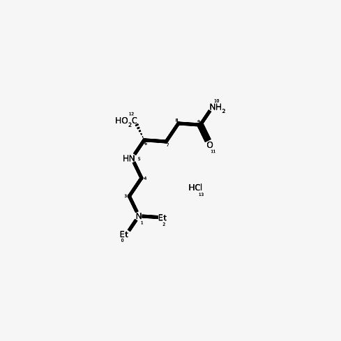 CCN(CC)CCN[C@@H](CCC(N)=O)C(=O)O.Cl